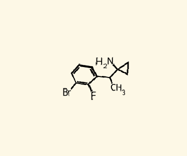 CC(c1cccc(Br)c1F)C1(N)CC1